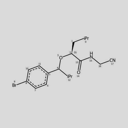 CC(C)C[C@H](OC(c1ccc(Br)cc1)C(C)C)C(=O)NCC#N